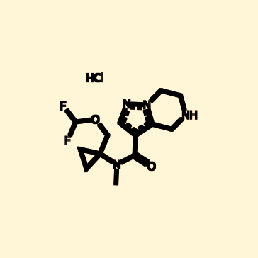 CN(C(=O)c1cnn2c1CNCC2)C1(COC(F)F)CC1.Cl